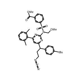 COCN(c1nc(-c2c(C)cccc2C)cc(C(CCN=[N+]=[N-])c2ccc(C(C)(C)C)cc2)n1)S(=O)(=O)c1cccc(C(=O)OC)c1